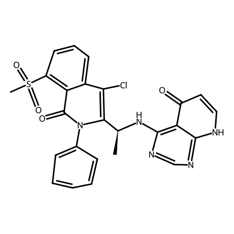 C[C@H](Nc1ncnc2[nH]ccc(=O)c12)c1c(Cl)c2cccc(S(C)(=O)=O)c2c(=O)n1-c1ccccc1